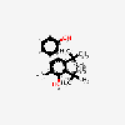 Cc1ccc(C(C)(C)C)c(C(C)(C)C)c1O.Oc1ccccc1